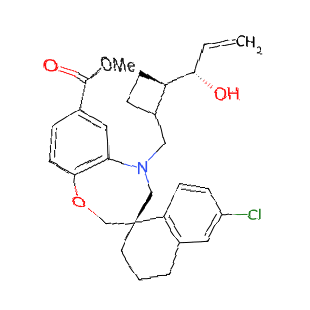 C=C[C@H](O)[C@@H]1CCC1CN1C[C@@]2(CCCc3cc(Cl)ccc32)COc2ccc(C(=O)OC)cc21